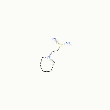 N=S(N)CCN1CCCCC1